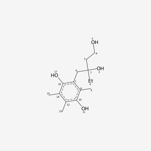 CCC(O)(CCO)Cc1c(C)c(O)c(C)c(C)c1O